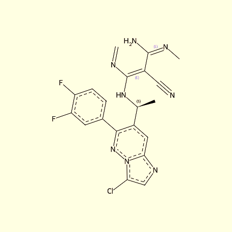 C=N/C(N[C@@H](C)c1cc2ncc(Cl)n2nc1-c1ccc(F)c(F)c1)=C(C#N)\C(N)=N/C